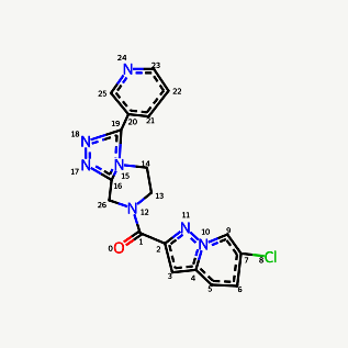 O=C(c1cc2ccc(Cl)cn2n1)N1CCn2c(nnc2-c2cccnc2)C1